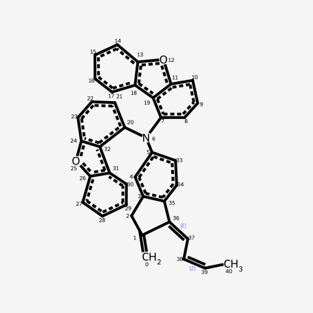 C=C1Cc2cc(N(c3cccc4oc5ccccc5c34)c3cccc4oc5ccccc5c34)ccc2/C1=C/C=C\C